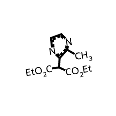 CCOC(=O)C(C(=O)OCC)c1nccnc1C